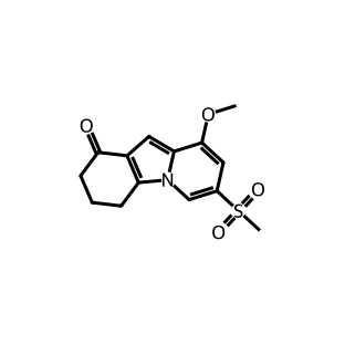 COc1cc(S(C)(=O)=O)cn2c3c(cc12)C(=O)CCC3